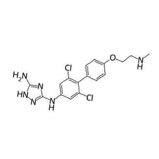 CNCCOc1ccc(-c2c(Cl)cc(Nc3n[nH]c(N)n3)cc2Cl)cc1